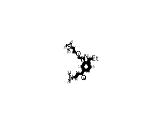 CCc1nn(COCC[Si](C)(C)C)c2cc(C(=O)C=CN(C)C)ccc12